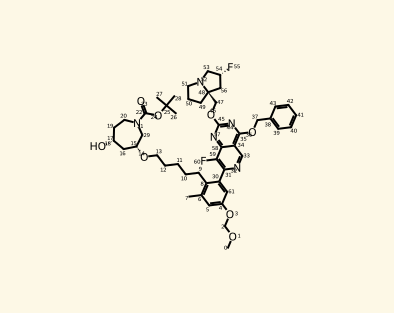 COCOc1cc(C)c(CCCCCO[C@@H]2C[C@H](O)CCN(C(=O)OC(C)(C)C)C2)c(-c2ncc3c(OCc4ccccc4)nc(OC[C@@]45CCCN4C[C@H](F)C5)nc3c2F)c1